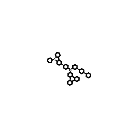 c1ccc(-c2ccc(-c3cccc(N(c4ccc(-c5ccc6c(c5)c5ccccc5n6-c5ccccc5)cc4)c4ccc5c6ccccc6c6ccccc6c5c4)c3)cc2)cc1